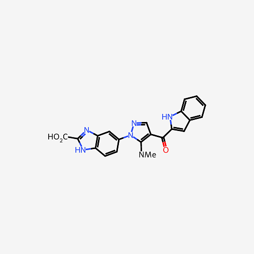 CNc1c(C(=O)c2cc3ccccc3[nH]2)cnn1-c1ccc2[nH]c(C(=O)O)nc2c1